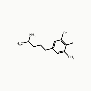 Cc1cc(CCCC(C)N)cc(C(C)C)c1F